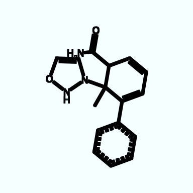 CC1(N2C=CON2)C(c2ccccc2)=CC=CC1C(N)=O